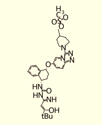 CC(C)(C)/C(O)=C/C(=N)NC(=O)N[C@H]1CC[C@@H](Oc2ccc3nnc(N4CCC(COS(C)(=O)=O)CC4)n3c2)c2ccccc21